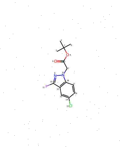 CC(C)(C)OC(=O)Cn1nc(I)c2cc(Cl)ccc21